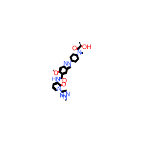 COc1cc2nn(C3CCC(N(C)C(=O)[C@@H](C)O)CC3)cc2cc1C(=O)Nc1cccn(-c2cnn(C)n2)c1=O